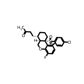 CC(=O)CC[C@@H]1CCC[C@@]2(S(=O)(=O)c3ccc(Cl)cc3)c3c(F)ccc(F)c3OC[C@@H]12